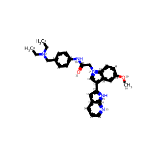 CCN(CC)Cc1ccc(NC(=O)Cn2cc(-c3cc4cccnc4[nH]3)c3cc(OC)ccc32)cc1